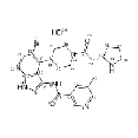 Cc1cncc(C(=O)Nc2c[nH]c3ncc(Br)c(N4CCN(C(=O)C[C@@H]5CCCN5)CC4)c23)c1.Cl